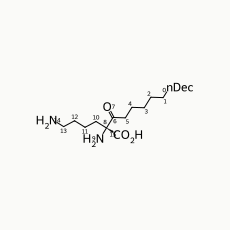 CCCCCCCCCCCCCCCC(=O)[C@](N)(CCCCN)C(=O)O